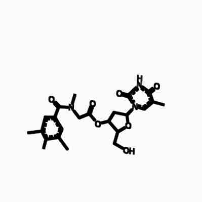 Cc1cc(C(=O)N(C)CC(=O)OC2CC(n3cc(C)c(=O)[nH]c3=O)OC2CO)cc(C)c1C